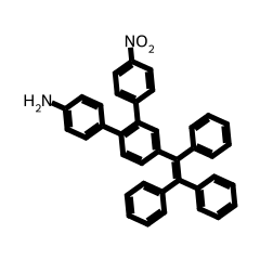 Nc1ccc(-c2ccc(C(=C(c3ccccc3)c3ccccc3)c3ccccc3)cc2-c2ccc([N+](=O)[O-])cc2)cc1